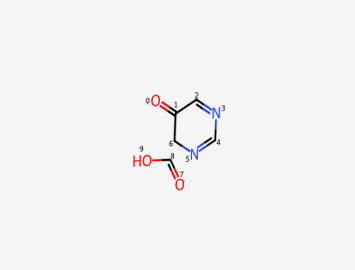 O=C1C=NC=NC1.O=CO